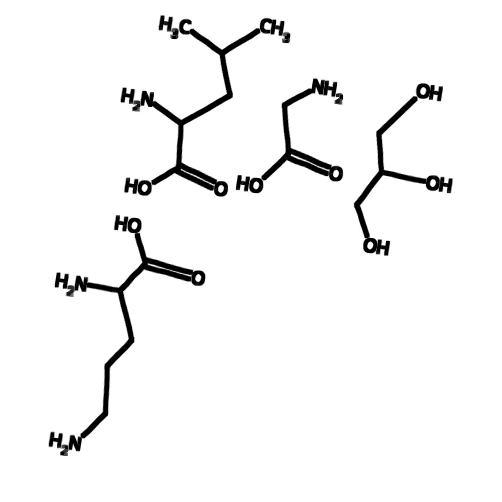 CC(C)CC(N)C(=O)O.NCC(=O)O.NCCCC(N)C(=O)O.OCC(O)CO